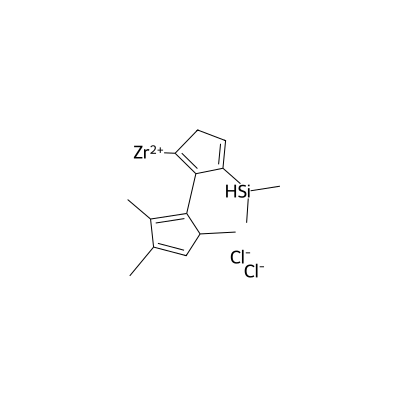 CC1=CC(C)C(C2=[C]([Zr+2])CC=C2[SiH](C)C)=C1C.[Cl-].[Cl-]